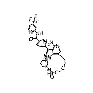 Nc1ncc2c3c1c(-c1ccc(C(=O)Nc4cc(C(F)(F)F)ccn4)cc1)nn3[C@@H]1CCC[C@H](C1)NC(=O)CCCCCC2